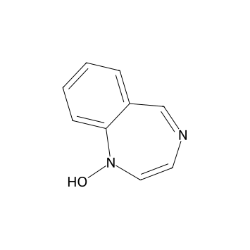 ON1C=CN=Cc2ccccc21